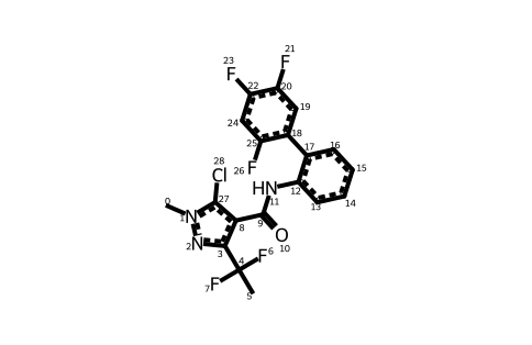 Cn1nc(C(C)(F)F)c(C(=O)Nc2ccccc2-c2cc(F)c(F)cc2F)c1Cl